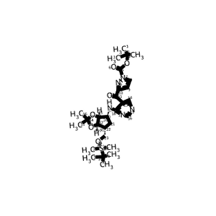 CC(C)(C)OC(=O)n1ccc(C(=O)c2cncnc2N[C@@H]2C[C@H](CO[Si](C)(C)C(C)(C)C)[C@H]3OC(C)(C)O[C@H]32)n1